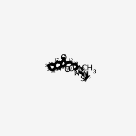 Cn1c(-c2nccs2)nc2oc(C=C3C(=O)c4cc5ccccc5cc4C3=O)cc21